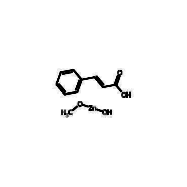 C[O][Zn][OH].O=C(O)C=Cc1ccccc1